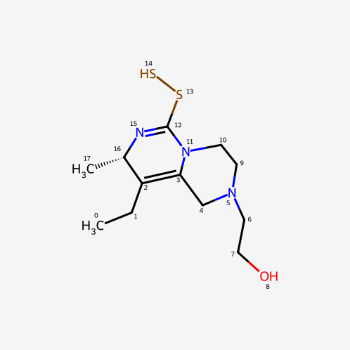 CCC1=C2CN(CCO)CCN2C(SS)=N[C@H]1C